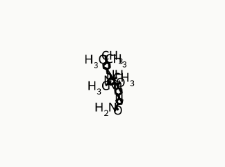 Cc1nc(NCc2ccc(C(C)(C)C)cc2)c(C)c(C(=O)N2CCC(N3CCC(C(N)=O)C3)CC2)n1